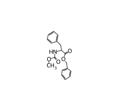 COC(=O)NC(Cc1ccccc1)C(=O)OCc1ccccc1